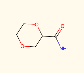 [NH]C(=O)C1COCCO1